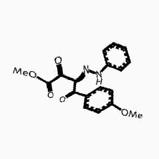 COC(=O)C(=O)C(=NNc1ccccc1)C(=O)c1ccc(OC)cc1